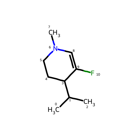 CC(C)C1CCN(C)C=C1F